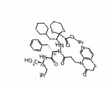 CC(C)C[C@H](NC(=O)[C@H](Cc1ccccc1)N(NC(CC1CCCCC1)C1(C(=O)OC(C)C)SCCCS1)C(=O)CCN1C(=O)CSc2ccncc21)C(=O)O